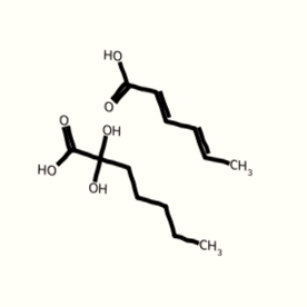 C/C=C/C=C/C(=O)O.CCCCCC(O)(O)C(=O)O